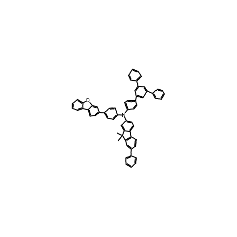 CC1(C)c2cc(-c3ccccc3)ccc2-c2ccc(N(c3ccc(-c4cc(-c5ccccc5)cc(-c5ccccc5)c4)cc3)c3ccc(-c4ccc5c(c4)oc4ccccc45)cc3)cc21